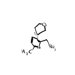 Cc1ccc([C@@H]2CCOC2)c(CN)n1